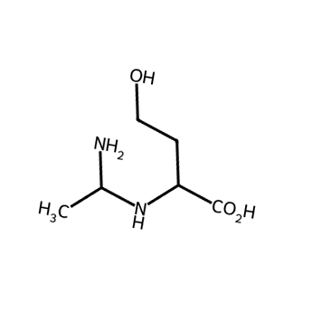 CC(N)NC(CCO)C(=O)O